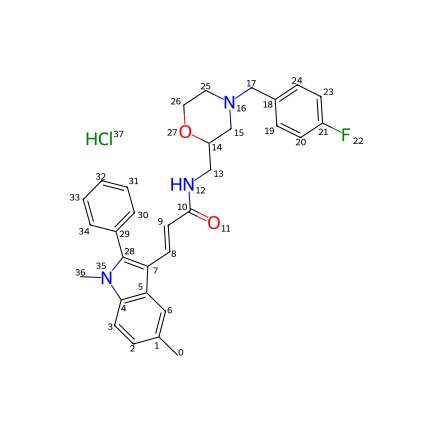 Cc1ccc2c(c1)c(/C=C/C(=O)NCC1CN(Cc3ccc(F)cc3)CCO1)c(-c1ccccc1)n2C.Cl